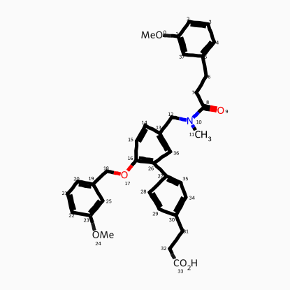 COc1cccc(CCC(=O)N(C)Cc2ccc(OCc3cccc(OC)c3)c(-c3ccc(CCC(=O)O)cc3)c2)c1